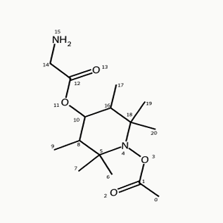 CC(=O)ON1C(C)(C)C(C)C(OC(=O)CN)C(C)C1(C)C